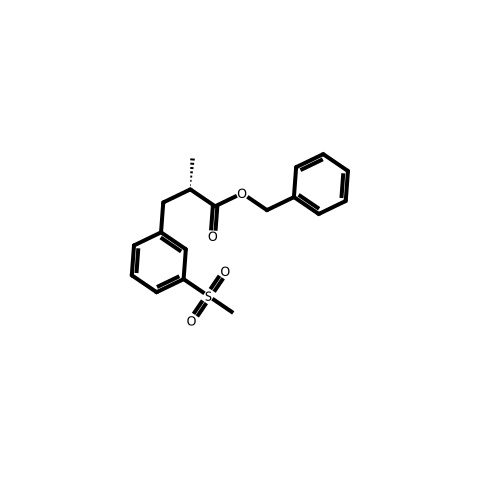 C[C@@H](Cc1cccc(S(C)(=O)=O)c1)C(=O)OCc1ccccc1